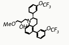 COC[C@@H](O)CN1c2cccc(-c3cccc(OC(F)(F)F)c3)c2CC[C@@H]1C1C=C(OC(F)(F)F)C=CC1